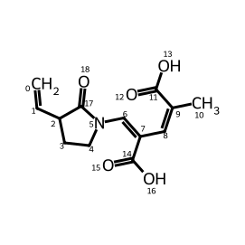 C=CC1CCN(C=C(C=C(C)C(=O)O)C(=O)O)C1=O